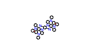 N#Cc1cc(-n2c3cc4c5ccccc5n(-c5ccccc5)c4cc3c3c(N(c4ccccc4)c4ccccc4)cccc32)c(C#N)cc1-n1c2cc3c4ccccc4n(C4=CCCC=C4)c3cc2c2c(N(c3ccccc3)c3ccccc3)cccc21